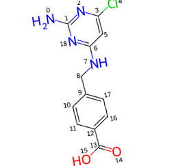 Nc1nc(Cl)cc(NCc2ccc(C(=O)O)cc2)n1